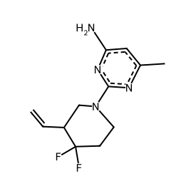 C=CC1CN(c2nc(C)cc(N)n2)CCC1(F)F